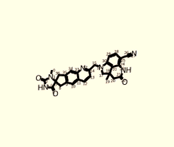 CN1C(=O)NC(=O)C12Cc1cc3ccc(CN4CC5(C)CC(=O)Nc6c(C#N)ccc4c65)nc3cc1C2